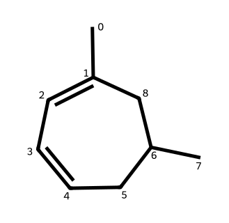 CC1=CC=CCC(C)C1